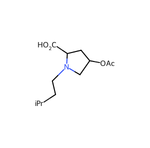 CC(=O)OC1CC(C(=O)O)N(CCC(C)C)C1